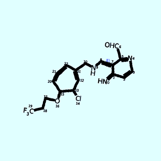 N=C1C=CN=C(C=O)/C1=C/NCC1=CC(Cl)C(OCCC(F)(F)F)C=C=C1